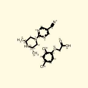 C[C@H]1CN(c2ncc(C#N)cn2)C[C@H](C)N1.O=C(O)COc1ccc(Cl)cc1Cl